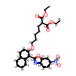 CCOC(=O)C(CCCCCOc1ccc2ccccc2c1-c1nc2ccc([N+](=O)[O-])cc2o1)C(=O)OCC